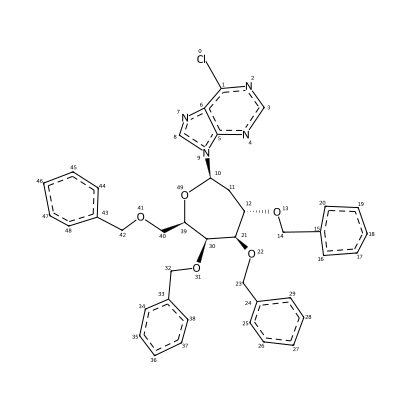 Clc1ncnc2c1ncn2[C@H]1C[C@H](OCc2ccccc2)[C@@H](OCc2ccccc2)[C@@H](OCc2ccccc2)[C@@H](COCc2ccccc2)O1